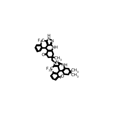 CC1(C)CC(=O)C2=C(C1)Nc1nn(CC3(C)CC(=O)C4=C(C3)Nc3n[nH]c(C(F)(F)F)c3C4c3ccccc3F)c(C(F)(F)F)c1C2c1c(F)cccc1F